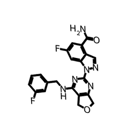 NC(=O)c1cc(F)cc2c1cnn2-c1nc2c(c(NCc3cccc(F)c3)n1)COC2